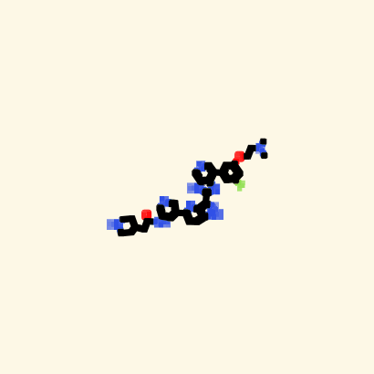 CN(C)CCOc1cc(F)cc(-c2cncc3[nH]c(-c4n[nH]c5ccc(-c6cncc(NC(=O)CC7CCNCC7)c6)nc45)nc23)c1